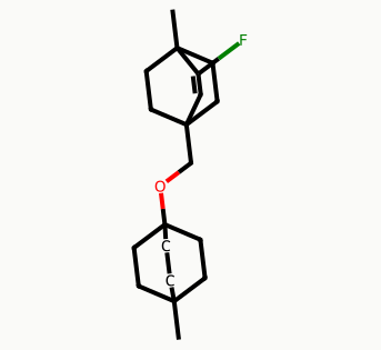 CC12CCC(OCC34C=C(F)C(C)(CC3)CC4)(CC1)CC2